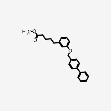 COC(=O)CCCCc1cccc(OCc2ccc(-c3ccccc3)cc2)c1